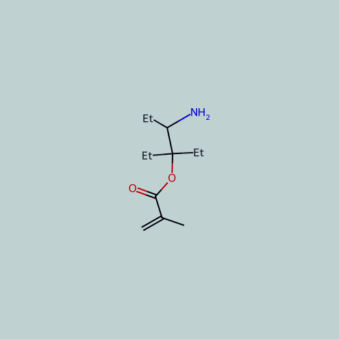 C=C(C)C(=O)OC(CC)(CC)C(N)CC